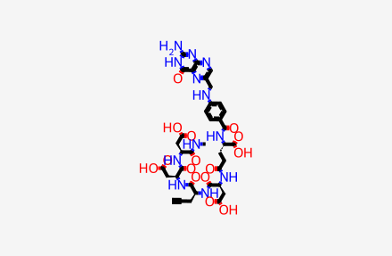 C#CC[C@H](NC(=O)[C@H](CC(=O)O)NC(=O)CC[C@H](NC(=O)c1ccc(NCc2cnc3nc(N)[nH]c(=O)c3n2)cc1)C(=O)O)C(=O)N[C@@H](CC(=O)O)C(=O)N[C@@H](CC(=O)O)C(=O)NC